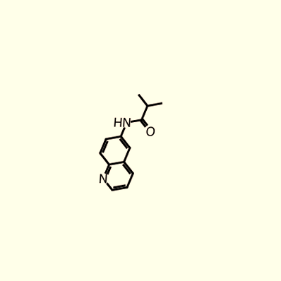 CC(C)C(=O)Nc1ccc2ncccc2c1